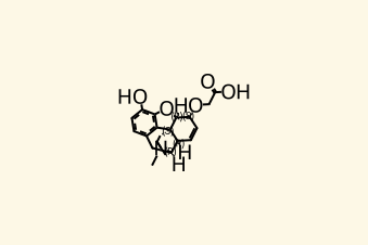 CN1CC[C@]23c4c5ccc(O)c4O[C@H]2[C@@H](OCC(=O)O)C=C[C@H]3[C@H]1C5